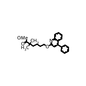 COC(=O)C(C)(C)CCCCOc1cc(-c2ccccc2)c2ccccc2n1